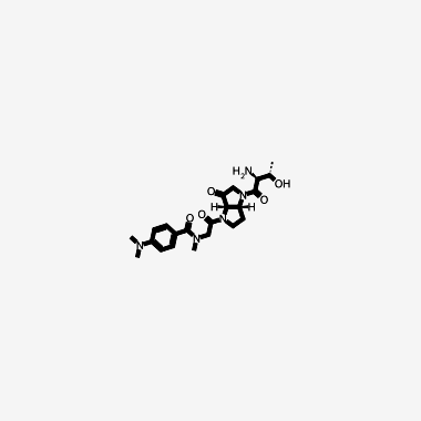 C[C@H](O)[C@H](N)C(=O)N1CC(=O)[C@@H]2[C@H]1CCN2C(=O)CN(C)C(=O)c1ccc(N(C)C)cc1